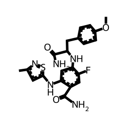 COc1ccc(CC(Nc2cc(Nc3cc(C)ns3)c(C(N)=O)cc2F)C(N)=O)cc1